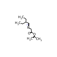 C=C(C)OC(=O)C/N=C/C(CC)CC